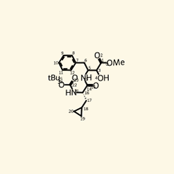 COC(=O)C(O)C(Cc1ccccc1)NC(=O)[C@H](CC1CC1)NC(=O)OC(C)(C)C